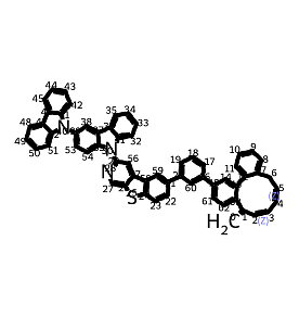 C=C1/C=C\C=C/Cc2ccccc2-c2cc(-c3cccc(-c4ccc5sc6cnc(-n7c8ccccc8c8cc(-n9c%10ccccc%10c%10ccccc%109)ccc87)cc6c5c4)c3)ccc21